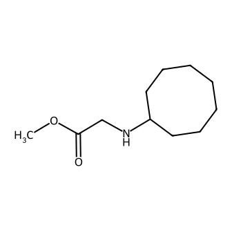 COC(=O)CNC1CCCCCCC1